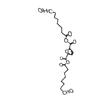 O=CCCCCCCC(=O)OC(=O)c1ccc(C(=O)OC(=O)CCCCCCC=O)o1